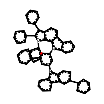 c1ccc(-c2cc(-n3c4ccccc4c4cc(-c5ccccc5)ccc43)cc(-n3c4ccccc4c4ccc5c(-c6ccccc6)c(-c6ccccc6)n(-c6ccccc6)c5c43)c2)cc1